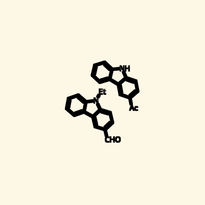 CC(=O)c1ccc2[nH]c3ccccc3c2c1.CCn1c2ccccc2c2cc(C=O)ccc21